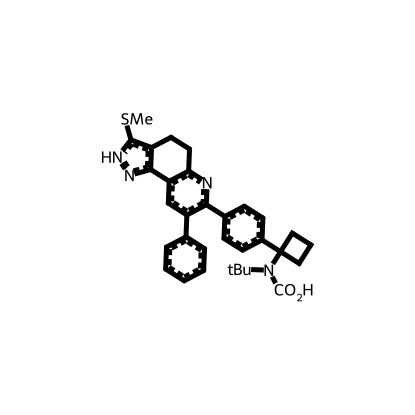 CSc1[nH]nc2c1CCc1nc(-c3ccc(C4(N(C(=O)O)C(C)(C)C)CCC4)cc3)c(-c3ccccc3)cc1-2